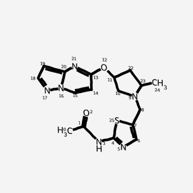 CC(=O)Nc1ncc(CN2CC(Oc3ccn4nccc4n3)CC2C)s1